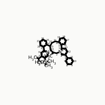 C=C1C[n+]2cc(-c3ccccc3)ccc2-c2ccccc2CCC2c3ccccc3-c3cc(C(C)C)c([Si](C)(C)C)c[n+]3C12